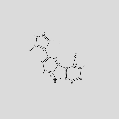 Cc1noc(C)c1-c1ccc2[nH]c3ccnc(Cl)c3c2c1